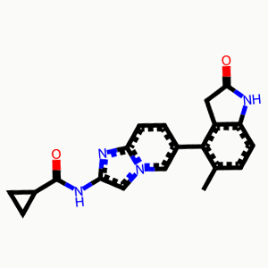 Cc1ccc2c(c1-c1ccc3nc(NC(=O)C4CC4)cn3c1)CC(=O)N2